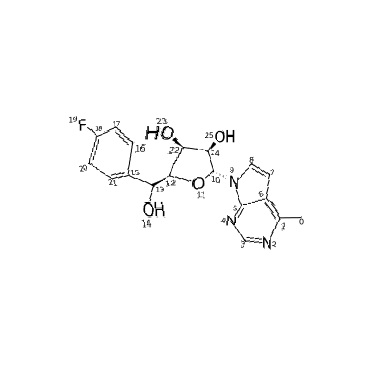 Cc1ncnc2c1ccn2[C@@H]1O[C@@H](C(O)c2ccc(F)cc2)[C@@H](O)[C@H]1O